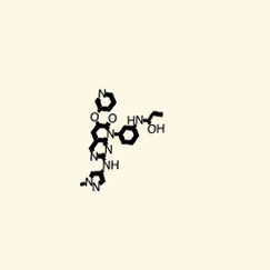 C=CC(O)Nc1cccc(-n2c(=O)c(Oc3cccnc3)cc3cnc(Nc4cnn(C)c4)nc32)c1